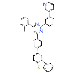 Cc1ccccc1-c1cc(-c2ccc(-c3ccc4sc5ccccc5c4c3)cc2)nc(-c2cccc(-c3cccnc3)c2)n1